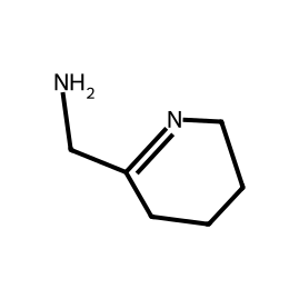 NCC1=NCCCC1